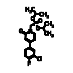 CC(C)OP(=O)(Cn1ccc(-c2ccc(F)c(Cl)c2)cc1=O)OC(C)C